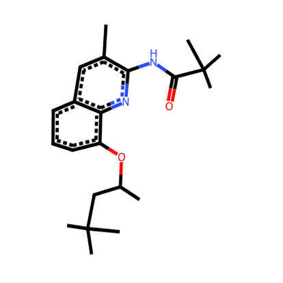 Cc1cc2cccc(OC(C)CC(C)(C)C)c2nc1NC(=O)C(C)(C)C